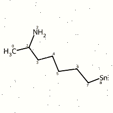 CC(N)CCCC[CH2][Sn]